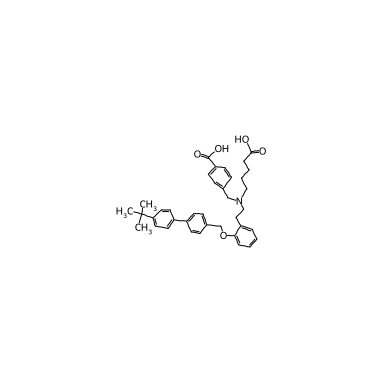 CC(C)(C)c1ccc(-c2ccc(COc3ccccc3CCN(CCCCC(=O)O)Cc3ccc(C(=O)O)cc3)cc2)cc1